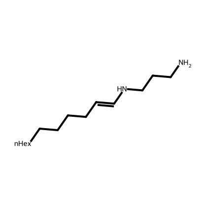 CCCCCCCCCCC=CNCCCN